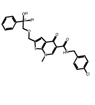 CC(C)[C@@](O)(COCc1cc2c(=O)c(C(=O)NCc3ccc(Cl)cc3)cn(C)c2s1)c1ccccc1